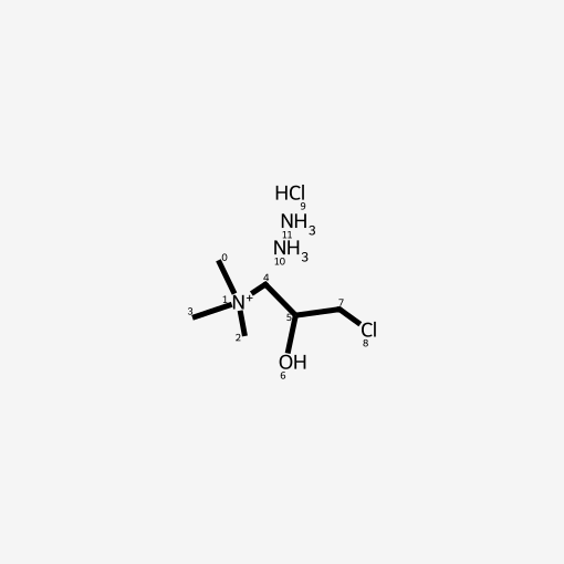 C[N+](C)(C)CC(O)CCl.Cl.N.N